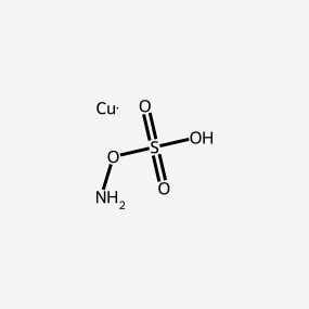 NOS(=O)(=O)O.[Cu]